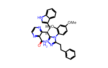 COc1ccc(-n2c(CCc3ccccc3)nnc2[C@H](Cc2c[nH]c3ccccc23)c2nccnc2C(N)=O)c(OC)c1